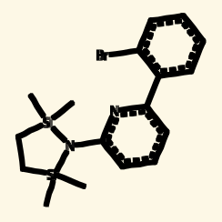 C[Si]1(C)CC[Si](C)(C)N1c1cccc(-c2ccccc2Br)n1